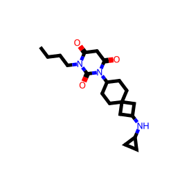 CCCCN1C(=O)CC(=O)N(C2CCC3(CC2)CC(NC2CC2)C3)C1=O